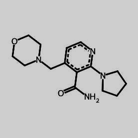 NC(=O)c1c(CN2CCOCC2)ccnc1N1CCCC1